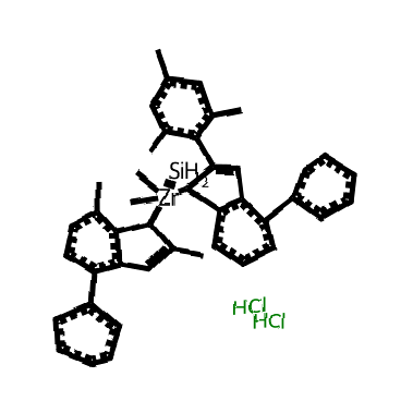 CC1=Cc2c(-c3ccccc3)ccc(C)c2[CH]1[Zr]([CH3])([CH3])(=[SiH2])[CH]1C(c2c(C)cc(C)cc2C)=Cc2c(-c3ccccc3)cccc21.Cl.Cl